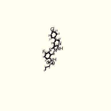 CCCS(=O)(=O)Nc1ccc(F)c(Sc2n[nH]c3ncc(-c4ccc(Cl)cc4)cc23)c1F